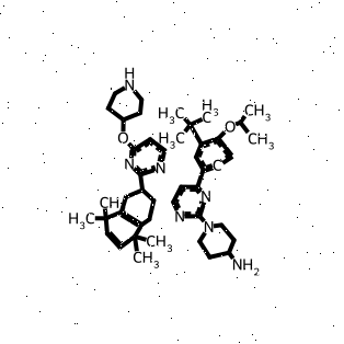 CC(C)Oc1ccc(-c2ccnc(N3CCC(N)CC3)n2)cc1C(C)(C)C.CC1(C)C=CC(C)(C)C2=C1CCC(c1nccc(OC3CCNCC3)n1)C2